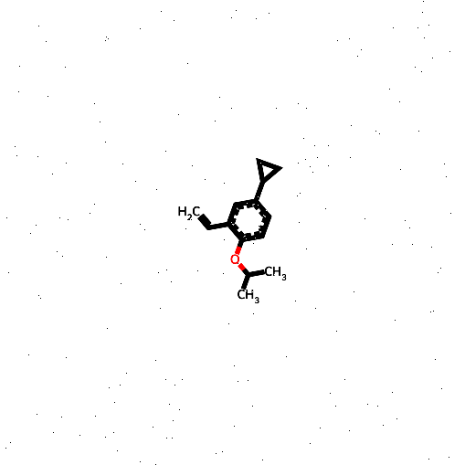 C=Cc1cc(C2CC2)ccc1OC(C)C